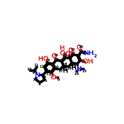 COc1c(C2CCCN2C(C)C)cc(O)c2c1C[C@H]1C[C@H]3[C@H](N(C)C)C(O)=C(C(N)=O)C(=O)[C@@]3(O)C(O)=C1C2=O